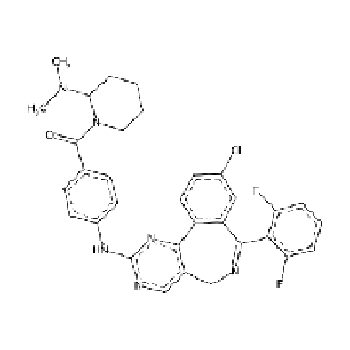 CN(C)C1CCCCN1C(=O)c1ccc(Nc2ncc3c(n2)-c2ccc(Cl)cc2C(c2c(F)cccc2F)=NC3)cc1